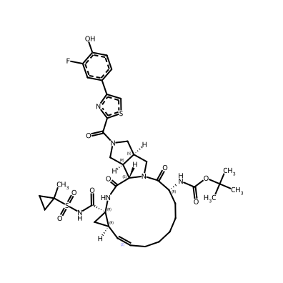 CC(C)(C)OC(=O)N[C@@H]1CCCCC/C=C\[C@H]2C[C@@]2(C(=O)NS(=O)(=O)C2(C)CC2)NC(=O)[C@@H]2[C@H]3CN(C(=O)c4nc(-c5ccc(O)c(F)c5)cs4)C[C@H]3CN2C1=O